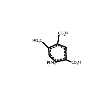 O=C(O)c1ccc(C(=O)O)c(C(=O)O)c1.[PbH2]